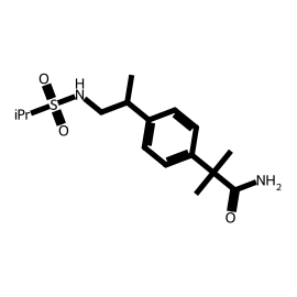 CC(CNS(=O)(=O)C(C)C)c1ccc(C(C)(C)C(N)=O)cc1